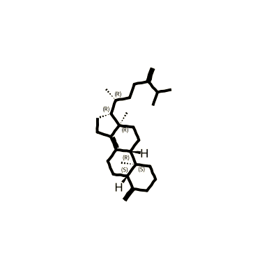 C=C(CC[C@@H](C)[C@H]1CCC2=C3CC[C@H]4C(=C)CCC[C@]4(C)[C@H]3CC[C@@]21C)C(C)C